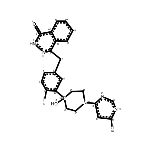 O=c1[nH]nc(Cc2ccc(F)c([P]3(O)CCN(c4cc(Cl)ncn4)CC3)c2)c2ccccc12